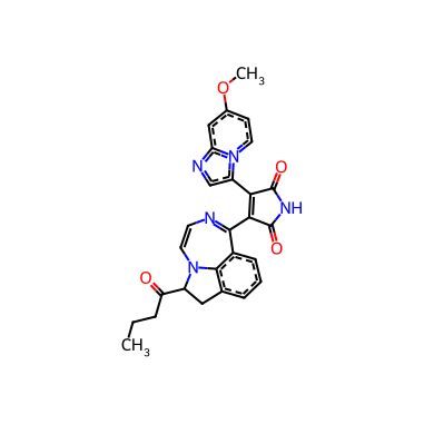 CCCC(=O)C1Cc2cccc3c2N1C=CN=C3C1=C(c2cnc3cc(OC)ccn23)C(=O)NC1=O